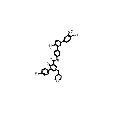 CCc1ccc(-c2cn(CC3CCOCC3)cc(C(=O)Nc3ccc(-c4cc(-c5ccc(O)c(N=O)c5)ccc4N)cc3)c2=O)cc1